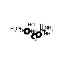 CCOc1ccc(Nc2ccnc3ccc(NC(=N)N)cc23)cc1.Cl